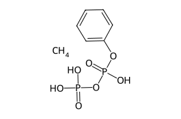 C.O=P(O)(O)OP(=O)(O)Oc1ccccc1